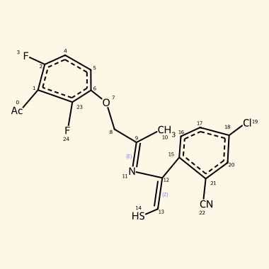 CC(=O)c1c(F)ccc(OC/C(C)=N/C(=C\S)c2ccc(Cl)cc2C#N)c1F